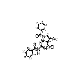 CC(=O)c1cn(C(=O)c2ccccc2)c2nc(NC(=O)c3ccccc3)nc(Cl)c12